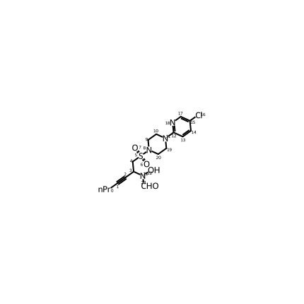 CCCC#CC(CS(=O)(=O)N1CCN(c2ccc(Cl)cn2)CC1)N(O)C=O